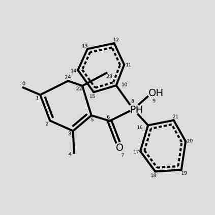 CC1=CC(C)=C(C(=O)[PH](O)(c2ccccc2)c2ccccc2)C(C)C1